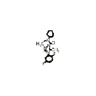 C=C1N(C(=O)N(CC)C2CCCCC2)N=NN1c1cc(F)ccc1F